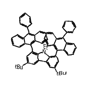 CCn1c2c(-c3c4ccccc4c(-c4ccccc4)c4ccccc34)cc(C(C)(C)C)cc2c2cc(C(C)(C)C)cc(-c3c4ccccc4c(-c4ccccc4)c4ccccc34)c21